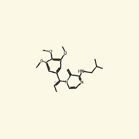 C=C1C(NCC(C)C)=NC=CN1/C(=C\C)c1cc(OC)c(OC)c(OC)c1